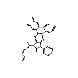 C#C/C=c1\c(=CC)c(=C/C=C)/c(=C\C=C)c2nc3c(nc12)N(c1ccccc1C)C(C)N3/C(C)=C/C=C\C=C